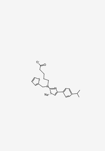 CC(C)c1ccc(-c2csc(N(CCCCC(=O)[O-])Cc3cccs3)n2)cc1.[Na+]